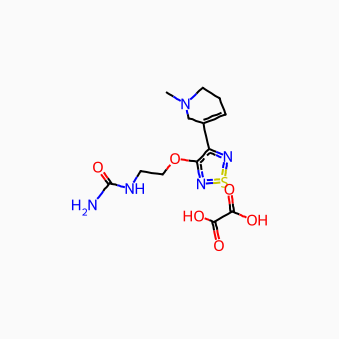 CN1CCC=C(c2nsnc2OCCNC(N)=O)C1.O=C(O)C(=O)O